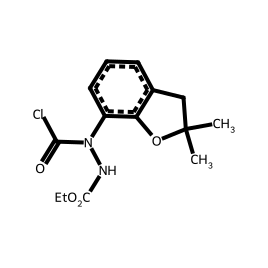 CCOC(=O)NN(C(=O)Cl)c1cccc2c1OC(C)(C)C2